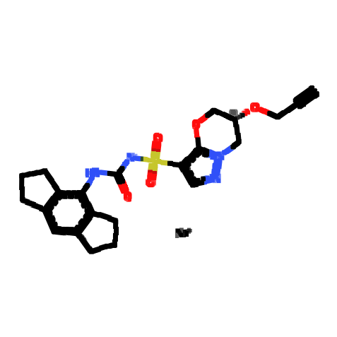 C#CCO[C@H]1COc2c(S(=O)(=O)[N-]C(=O)Nc3c4c(cc5c3CCC5)CCC4)cnn2C1.[Na+]